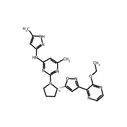 CCOc1nccnc1-c1cc([C@@H]2CCCN2c2nc(C)cc(Nc3cc(C)[nH]n3)n2)on1